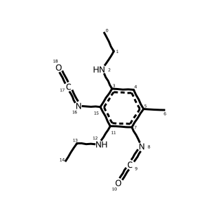 CCNc1cc(C)c(N=C=O)c(NCC)c1N=C=O